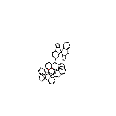 c1ccc(-c2ccc(-c3ccccc3N(c3ccc4c(c3)C3(c5ccccc5Oc5ccccc53)c3ccccc3-4)c3cccc4c3-c3c(ccc5ccccc35)C43c4ccccc4Sc4ccccc43)cc2)cc1